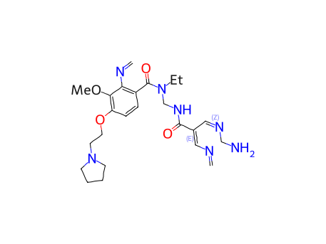 C=N/C=C(\C=N/CN)C(=O)NCN(CC)C(=O)c1ccc(OCCN2CCCC2)c(OC)c1N=C